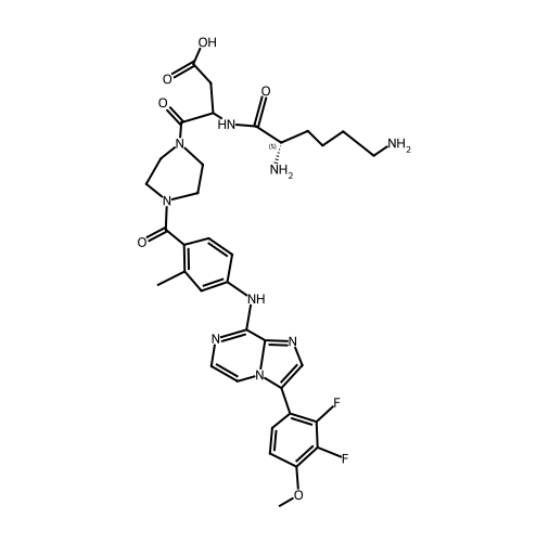 COc1ccc(-c2cnc3c(Nc4ccc(C(=O)N5CCN(C(=O)C(CC(=O)O)NC(=O)[C@@H](N)CCCCN)CC5)c(C)c4)nccn23)c(F)c1F